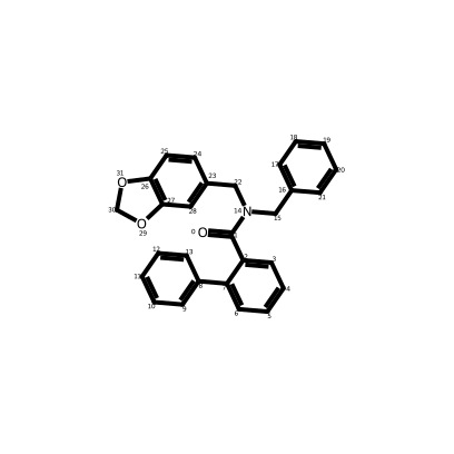 O=C(c1ccccc1-c1ccccc1)N(Cc1ccccc1)Cc1ccc2c(c1)OCO2